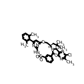 Cc1cccc(C)c1-c1cc2nc(n1)NS(=O)(=O)c1cccc(c1)C(=O)N(Cc1cnc(C)c(Cl)n1)[C@H](CC(C)(C)C)CO2